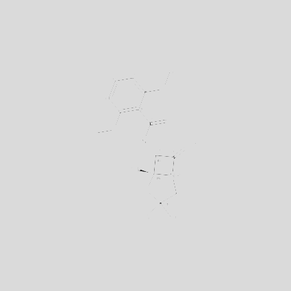 COc1cccc(OC)c1C(=O)N[C@@H]1C(=O)N2CC(C)(C)S[C@H]12